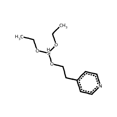 CCO[SiH](OCC)OCCc1ccncc1